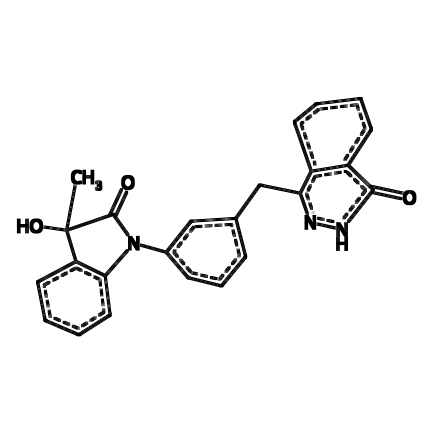 CC1(O)C(=O)N(c2cccc(Cc3n[nH]c(=O)c4ccccc34)c2)c2ccccc21